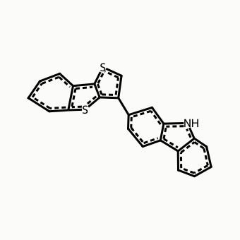 c1ccc2c(c1)[nH]c1cc(-c3csc4c3sc3ccccc34)ccc12